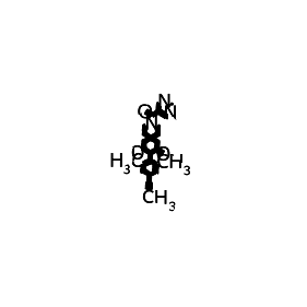 CC#Cc1cc(C)c(C2C(=O)CC3(CCN(C(=O)c4cncnc4)CC3)CC2=O)c(C)c1